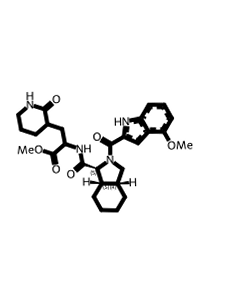 COC(=O)C(CC1CCCNC1=O)NC(=O)[C@@H]1[C@H]2CCCC[C@H]2CN1C(=O)c1cc2c(OC)cccc2[nH]1